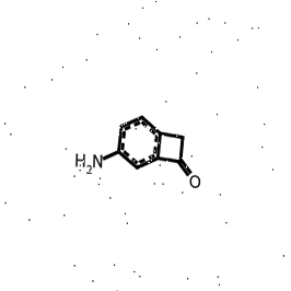 Nc1ccc2c(c1)C(=O)C2